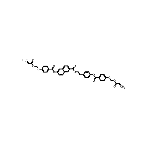 C=CC(=O)OCOc1ccc(C(=O)Oc2ccc(CCOC(=O)c3ccc4cc(OC(=O)c5ccc(OCOC(=O)C=C)cc5)ccc4c3)cc2)cc1